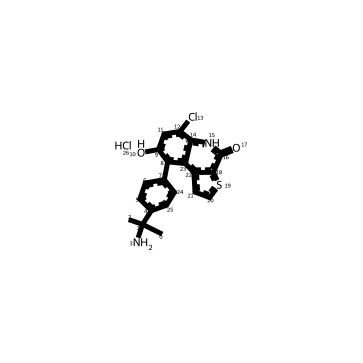 CC(C)(N)c1ccc(-c2c(O)cc(Cl)c3[nH]c(=O)c4sccc4c23)cc1.Cl